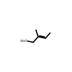 [CH2]/C=C(\C)COC